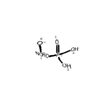 O=P(O)(O)O.O=[NH+][O-]